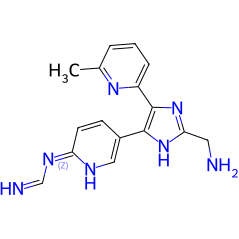 Cc1cccc(-c2nc(CN)[nH]c2-c2cc/c(=N/C=N)[nH]c2)n1